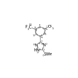 CSc1nc(-c2cc(C(F)(F)F)cc(C(F)(F)F)c2)n[nH]1